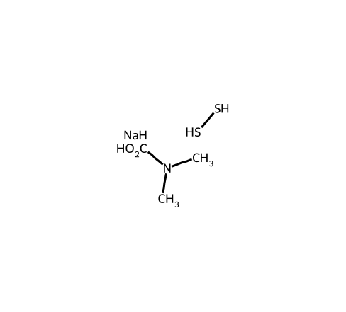 CN(C)C(=O)O.SS.[NaH]